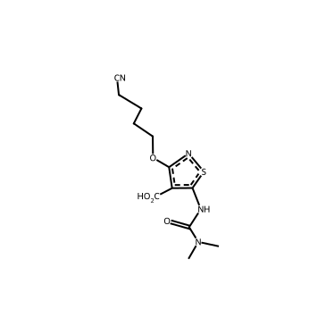 CN(C)C(=O)Nc1snc(OCCCCC#N)c1C(=O)O